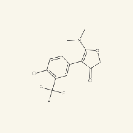 CN(C)C1=C(c2ccc(Cl)c(C(F)(F)F)c2)C(=O)CO1